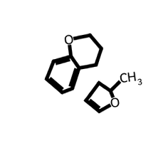 CC1CC=CO1.c1ccc2c(c1)CCCO2